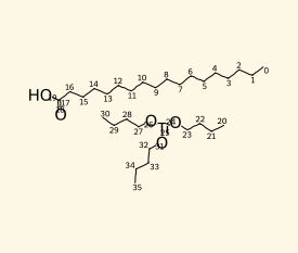 CCCCCCCCCCCCCCCCCC(=O)O.CCCC[O][Ti]([O]CCCC)[O]CCCC